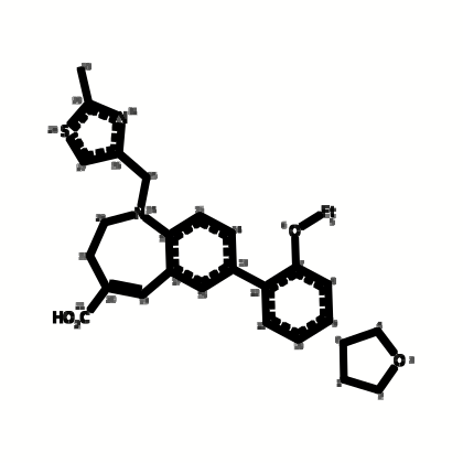 C1CCOC1.CCOc1ccccc1-c1ccc2c(c1)C=C(C(=O)O)CCN2Cc1csc(C)n1